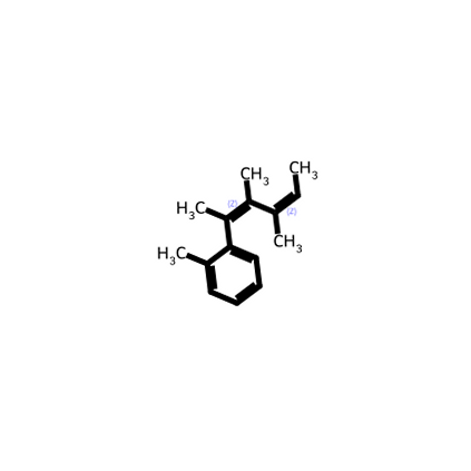 C/C=C(C)\C(C)=C(\C)c1ccccc1C